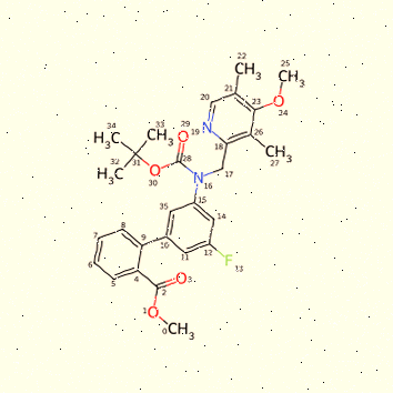 COC(=O)c1ccccc1-c1cc(F)cc(N(Cc2ncc(C)c(OC)c2C)C(=O)OC(C)(C)C)c1